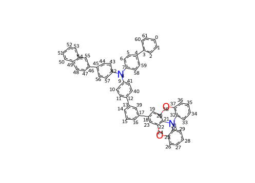 c1ccc(-c2ccc(N(c3ccc(-c4cccc(-c5cc6c7c(c5)Oc5ccccc5N7c5ccccc5O6)c4)cc3)c3ccc(-c4ccc5ccccc5c4)cc3)cc2)cc1